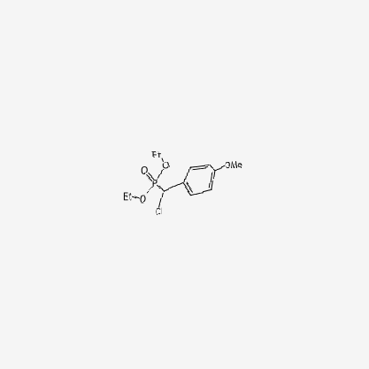 CCOP(=O)(OCC)C(Cl)c1ccc(OC)cc1